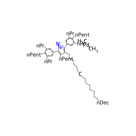 CCCCCCCCCCCCCCCCCCCCCCCCCC1=C(c2cc(CCC)c(CCCCC)c(CCC)c2)[N+](=[N-])C(c2cc(CCC)c(CCCCC)c(CCC)c2)=C1CCCCC.[CH3][Pd][CH3]